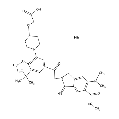 Br.CNC(=O)c1cc2c(cc1N(C)C)CN(CC(=O)c1cc(N3CCC(OCC(=O)O)CC3)c(OC)c(C(C)(C)C)c1)C2=N